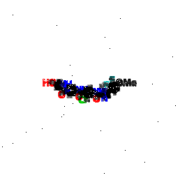 COc1ccc(-c2cnc(C(=O)Nc3ccc(C(=O)NC4CCN(C(=O)[C@@H]5C[C@@H](O)CN5)CC4)c(Cl)c3)n2C)c(F)c1F